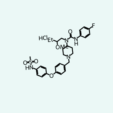 CCC(CN(C(=O)Nc1ccc(F)cc1)C1CCN(Cc2ccc(Oc3ccc(NS(C)(=O)=O)cc3)cc2)CC1)OC.Cl